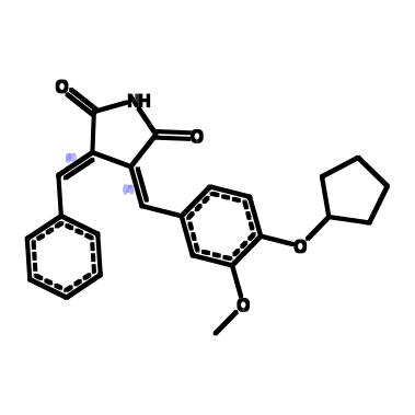 COc1cc(/C=C2\C(=O)NC(=O)\C2=C\c2ccccc2)ccc1OC1CCCC1